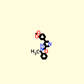 C[C@@H](NC(=O)c1cncc(-c2ccc3c(c2)OCO3)c1)c1ccccc1